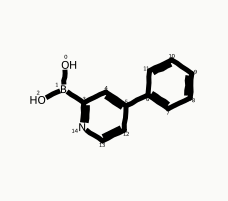 OB(O)c1cc(-c2ccccc2)ccn1